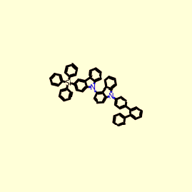 c1ccc(-c2ccccc2-c2ccc(-n3c4ccccc4c4c(-n5c6ccccc6c6cc([Si](c7ccccc7)(c7ccccc7)c7ccccc7)ccc65)cccc43)cc2)cc1